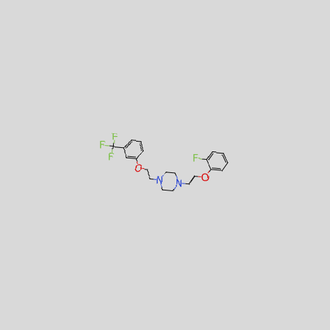 Fc1ccccc1OCCN1CCN(CCOc2cccc(C(F)(F)F)c2)CC1